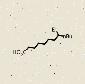 CCCCC(CC)CCCCCCC(=O)O